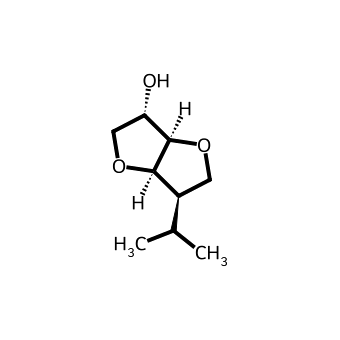 CC(C)[C@@H]1CO[C@H]2[C@@H]1OC[C@@H]2O